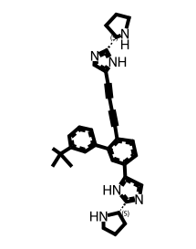 CC(C)(C)c1cccc(-c2cc(-c3cnc([C@@H]4CCCN4)[nH]3)ccc2C#CC#Cc2cnc([C@@H]3CCCN3)[nH]2)c1